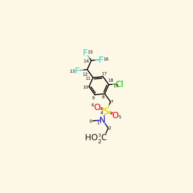 CN(CC(=O)O)S(=O)(=O)Cc1ccc(C(F)C(F)F)cc1Cl